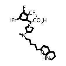 CC(C)c1cc(F)c(C(F)(F)F)c([C@H](C(=O)O)N2CC[C@@H](N(C)CCCCCc3ccc4c(n3)NCCC4)C2)c1